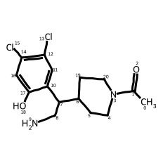 CC(=O)N1CCC(C(CN)c2cc(Cl)c(Cl)cc2O)CC1